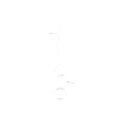 C=C(c1ccccc1)c1ccc(OCCCN(CC)CC)cc1